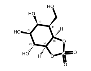 O=S1(=O)O[C@@H]2[C@H](CO)[C@H](O)[C@H](O)[C@@H](O)[C@@H]2O1